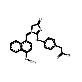 COc1ccc(/C=S2/CC(=O)N=C2Nc2ccc(CC(=O)O)cc2)c2ccccc12